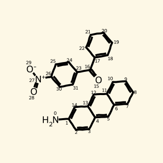 Nc1ccc2cc3ccccc3cc2c1.O=C(c1ccccc1)c1ccc([N+](=O)[O-])cc1